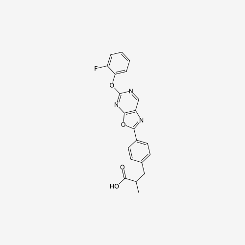 CC(Cc1ccc(-c2nc3cnc(Oc4ccccc4F)nc3o2)cc1)C(=O)O